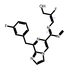 C=N/C(=N\C=C(\F)CO)c1cn2ccnc2c(Cc2cccc(F)c2)n1